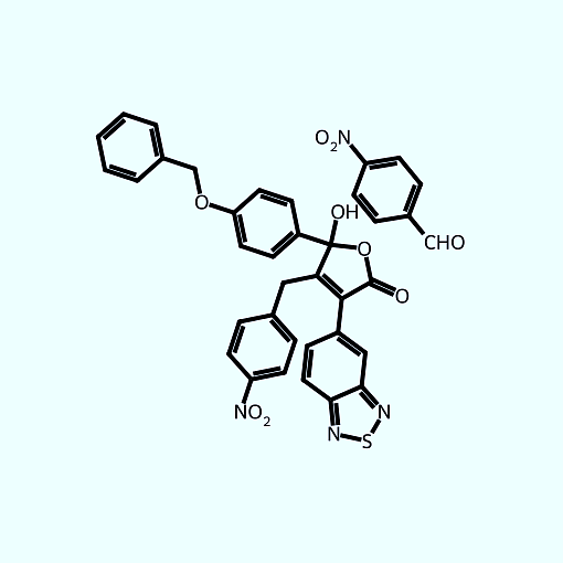 O=C1OC(O)(c2ccc(OCc3ccccc3)cc2)C(Cc2ccc([N+](=O)[O-])cc2)=C1c1ccc2nsnc2c1.O=Cc1ccc([N+](=O)[O-])cc1